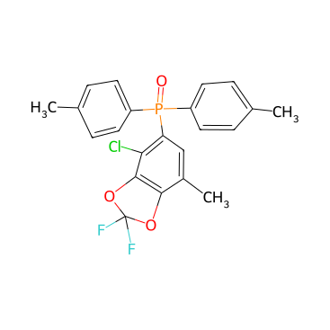 Cc1ccc(P(=O)(c2ccc(C)cc2)c2cc(C)c3c(c2Cl)OC(F)(F)O3)cc1